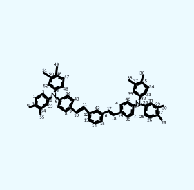 Cc1ccc(N(c2ccc(/C=C/c3cccc(/C=C/c4ccc(N(c5ccc(C)c(C)c5)c5ccc(C)c(C)c5)cc4)c3)cc2)c2ccc(C)c(C)c2)cc1C